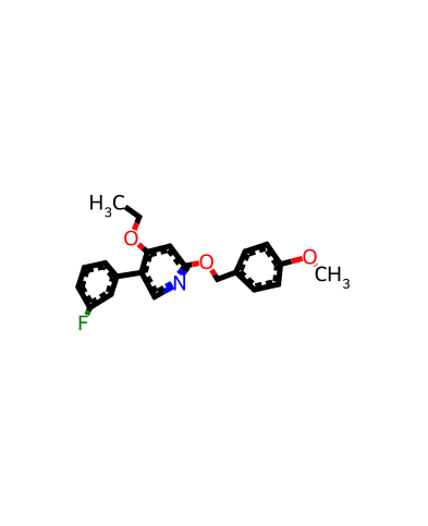 CCOc1cc(OCc2ccc(OC)cc2)ncc1-c1cccc(F)c1